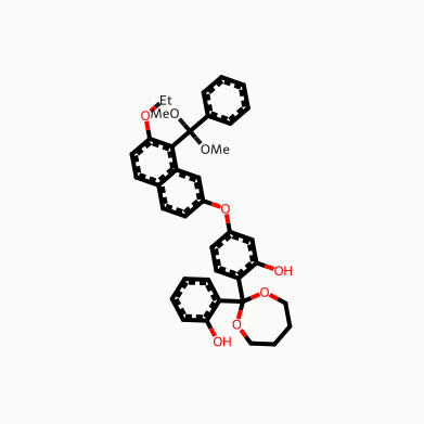 CCOc1ccc2ccc(Oc3ccc(C4(c5ccccc5O)OCCCCO4)c(O)c3)cc2c1C(OC)(OC)c1ccccc1